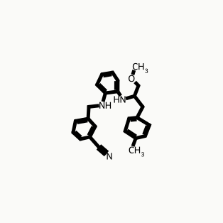 COCC(Cc1ccc(C)cc1)Nc1ccccc1NCc1cccc(C#N)c1